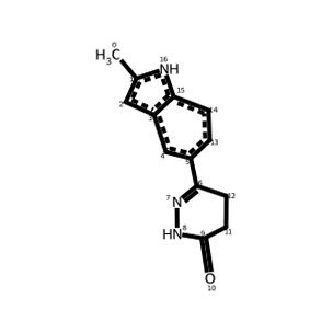 Cc1cc2cc(C3=NNC(=O)CC3)ccc2[nH]1